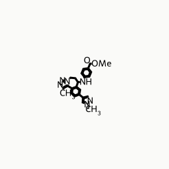 COC(=O)c1ccc(NC2CCn3nnc(C)c3-c3ccc(-c4cnn(C)c4)cc32)cc1